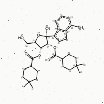 CC1(C)CCC(C(=O)O[C@H]2[C@@H](OC(=O)C3CCC(C)(C)CC3)[C@](C#N)(c3ccc4c(N)ncnn34)O[C@@H]2CO)CC1